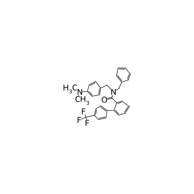 CN(C)c1ccc(CN(Cc2ccccc2)C(=O)c2ccccc2-c2ccc(C(F)(F)F)cc2)cc1